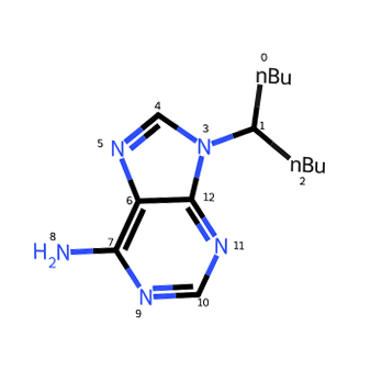 CCCCC(CCCC)n1cnc2c(N)ncnc21